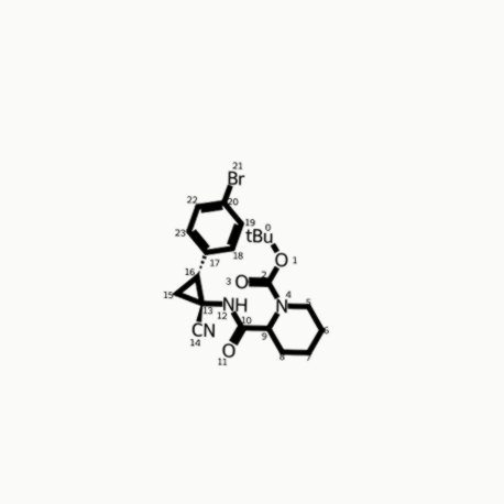 CC(C)(C)OC(=O)N1CCCCC1C(=O)N[C@]1(C#N)C[C@@H]1c1ccc(Br)cc1